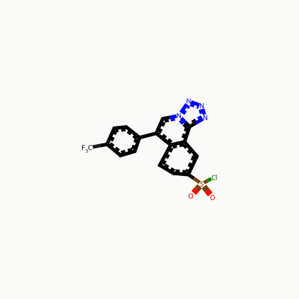 O=S(=O)(Cl)c1ccc2c(-c3ccc(C(F)(F)F)cc3)cn3nnnc3c2c1